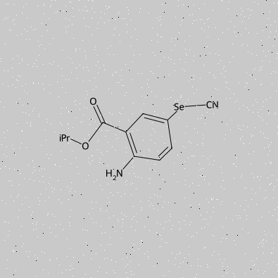 CC(C)OC(=O)c1cc([Se]C#N)ccc1N